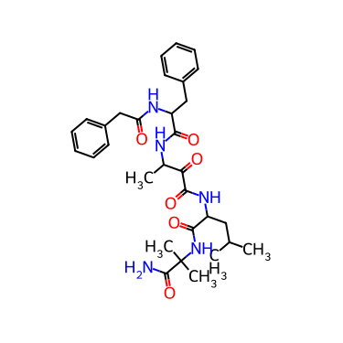 CC(C)CC(NC(=O)C(=O)C(C)NC(=O)C(Cc1ccccc1)NC(=O)Cc1ccccc1)C(=O)NC(C)(C)C(N)=O